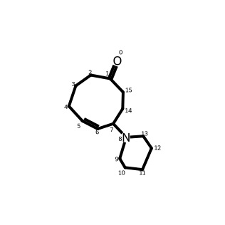 O=C1CCCC=CC(N2CCCCC2)CC1